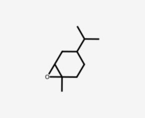 CC(C)C1CCC2(C)OC2C1